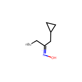 CCCCC/C(CC1CC1)=N/O